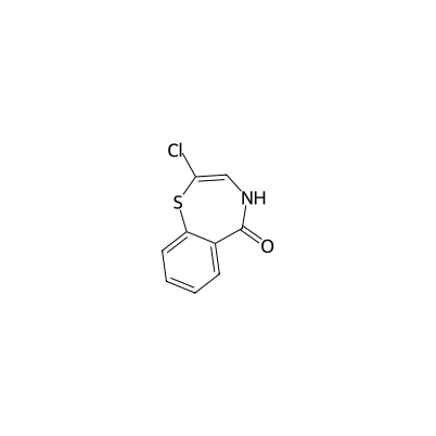 O=C1NC=C(Cl)Sc2ccccc21